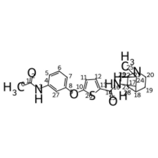 CC(=O)Nc1cccc(Oc2ccc(C(=O)N[C@@H]3C4CCN(CC4)[C@H]3C)s2)c1